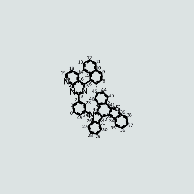 c1cc(-c2nc(-c3cccc4ccccc34)c3cccnc3n2)cc(-n2c3ccccc3c3c4c5ccccc5sc4c4ccccc4c32)c1